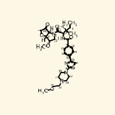 CCC(C)(C)C(NC(=O)c1ccc(-c2csc(N3CCN(CCOC)CC3)n2)cc1)C(=O)N1C[C@H](OC)[C@H]2OCC(=O)[C@H]21